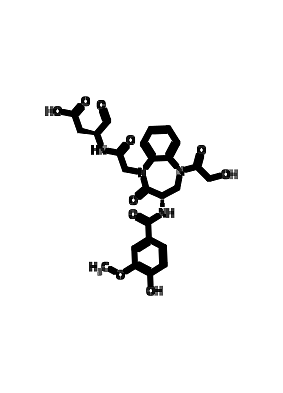 COc1cc(C(=O)N[C@H]2CN(C(=O)CO)c3ccccc3N(CC(=O)N[C@H](C=O)CC(=O)O)C2=O)ccc1O